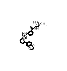 CN(C)CCNC(=O)c1cccc(Nc2nc3cccc(-c4ccc5c(c4)OCCO5)n3n2)c1